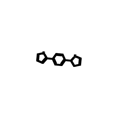 C1=CSC(c2ccc(-c3cccs3)cc2)C1